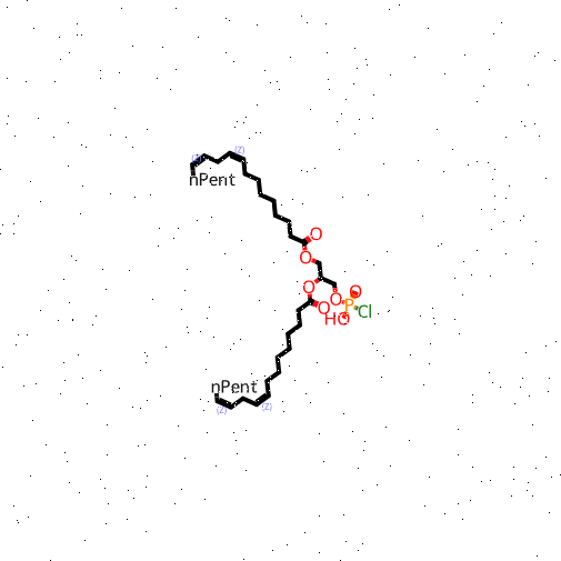 CCCCC/C=C\C/C=C\CCCCCCCC(=O)OCC(COP(=O)(O)Cl)OC(=O)CCCCCCC/C=C\C/C=C\CCCCC